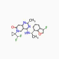 Cc1nc(N[C@H](C)c2cccc3c(F)coc23)c2cn(C3(C(F)F)CC3)c(=O)cc2n1